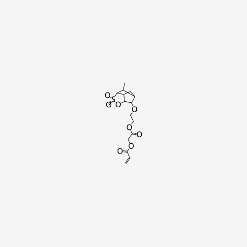 C=CC(=O)OCC(=O)OCCOC1C2CC3C1OS(=O)(=O)C3C2C